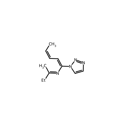 C\C=C/C=C(\N=C(/C)CC)n1ccnn1